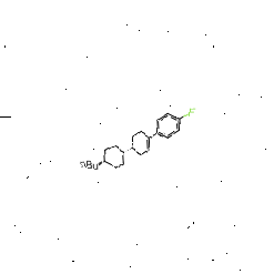 CCCC[C@H]1CC[C@H](C2CC=C(c3ccc(F)cc3)CC2)CC1